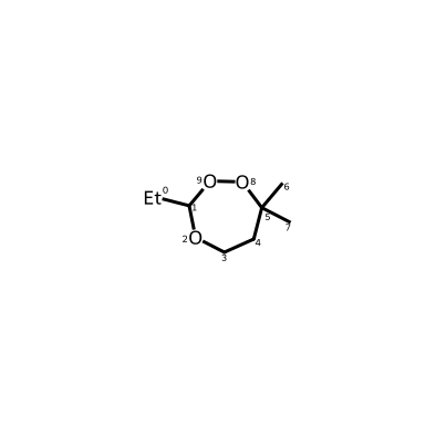 CCC1OCCC(C)(C)OO1